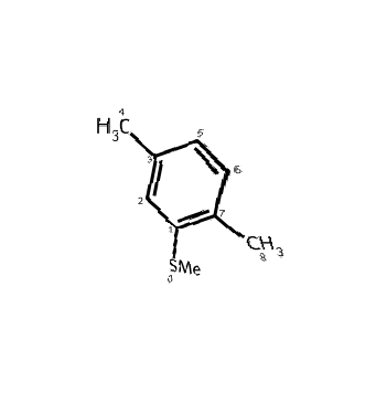 CSc1cc(C)ccc1C